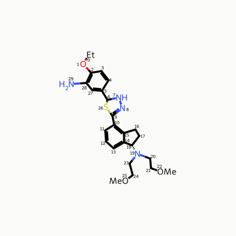 CCOc1ccc(C2NN=C(c3cccc4c3CC[C@@H]4N(CCOC)CCOC)S2)cc1N